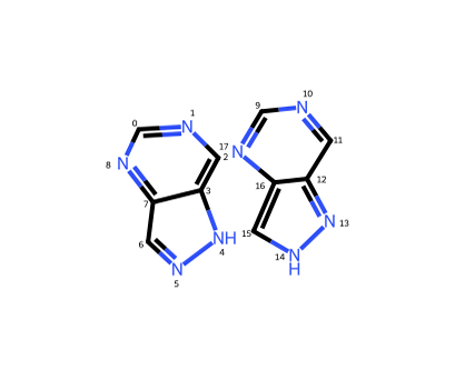 c1ncc2[nH]ncc2n1.c1ncc2n[nH]cc2n1